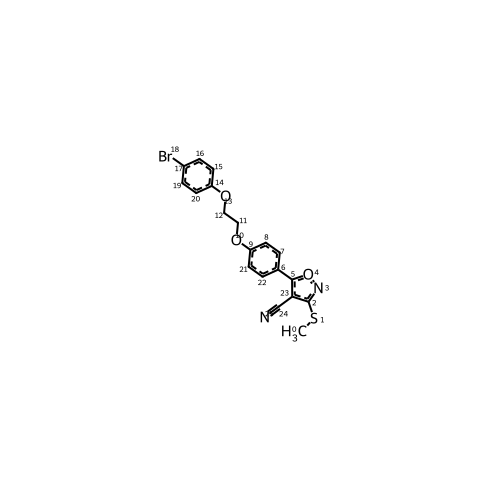 CSc1noc(-c2ccc(OCCOc3ccc(Br)cc3)cc2)c1C#N